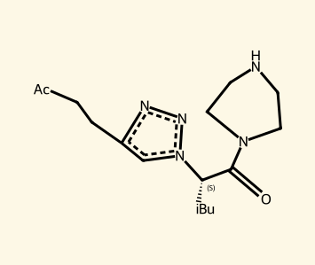 CCC(C)[C@@H](C(=O)N1CCNCC1)n1cc(CCC(C)=O)nn1